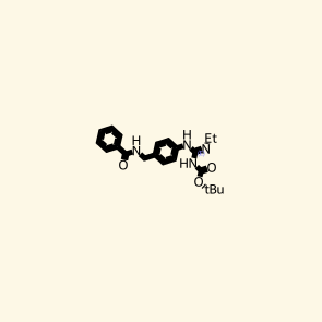 CC/N=C(/NC(=O)OC(C)(C)C)Nc1ccc(CNC(=O)c2ccccc2)cc1